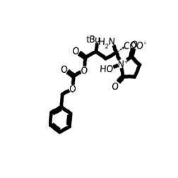 CC(C)(C)C(C[C@](N)(C(=O)[O-])[N+]1(O)C(=O)CCC1=O)C(=O)OC(=O)OCc1ccccc1